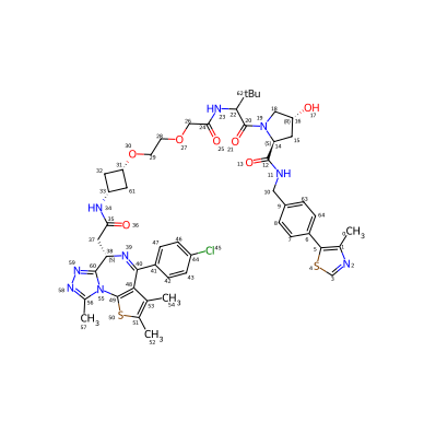 Cc1ncsc1-c1ccc(CNC(=O)[C@@H]2C[C@@H](O)CN2C(=O)C(NC(=O)COCCO[C@H]2C[C@@H](NC(=O)C[C@@H]3N=C(c4ccc(Cl)cc4)c4c(sc(C)c4C)-n4c(C)nnc43)C2)C(C)(C)C)cc1